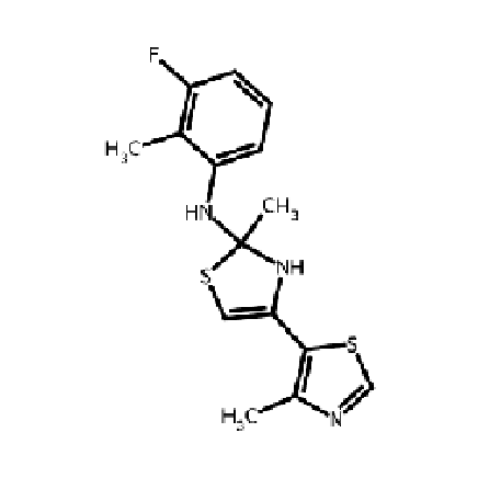 Cc1ncsc1C1=CSC(C)(Nc2cccc(F)c2C)N1